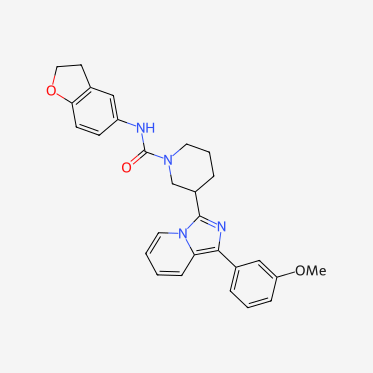 COc1cccc(-c2nc(C3CCCN(C(=O)Nc4ccc5c(c4)CCO5)C3)n3ccccc23)c1